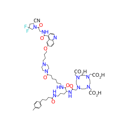 Cc1ccc(CCCC(=O)NCCCC(NC(=O)CN2CCN(CC(=O)O)CCN(CC(=O)O)CCN(CC(=O)O)CC2)C(=O)NCCCCCC(=O)N2CCN(CCCCOc3ccc4nccc(C(=O)NCC(=O)N5CC(F)(F)C[C@@H]5C#N)c4c3)CC2)cc1